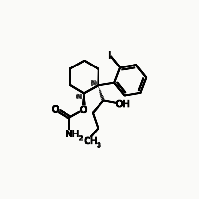 CCCC(O)[C@@]1(c2ccccc2I)CCCC[C@@H]1OC(N)=O